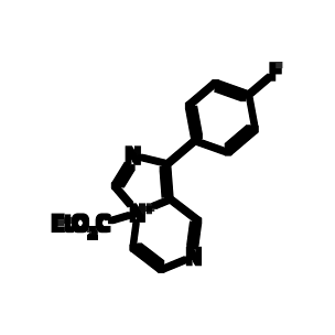 CCOC(=O)[N+]12C=CN=CC1=C(c1ccc(F)cc1)N=C2